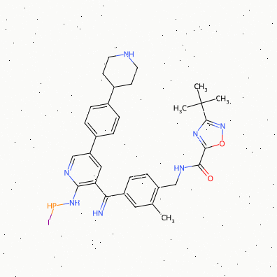 Cc1cc(C(=N)c2cc(-c3ccc(C4CCNCC4)cc3)cnc2NPI)ccc1CNC(=O)c1nc(C(C)(C)C)no1